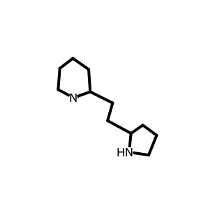 C1CCC(CCC2CCCN2)[N]C1